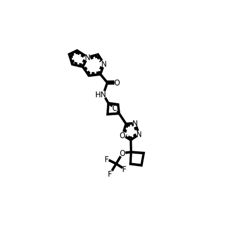 O=C(NC12CC(c3nnc(C4(OC(F)(F)F)CCC4)o3)(C1)C2)c1cc2cccn2cn1